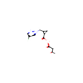 CC(=O)CC(=O)OC(=O)C1CC1Cn1cc(Br)cn1